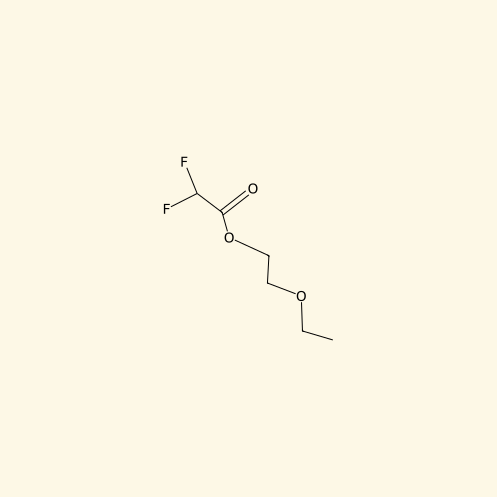 CCOCCOC(=O)C(F)F